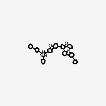 c1ccc(-c2ccc(-c3nc(-c4ccccc4)nc(-c4ccc5c(c4)oc4ccc(-c6ccc7c(c6)oc6cccc(-n8c9ccccc9c9cc(-c%10ccccc%10)ccc98)c67)cc45)n3)cc2)cc1